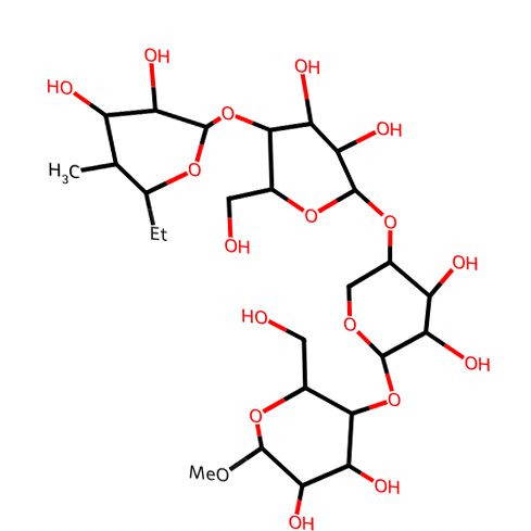 CCC1OC(OC2C(CO)OC(OC3COC(OC4C(CO)OC(OC)C(O)C4O)C(O)C3O)C(O)C2O)C(O)C(O)C1C